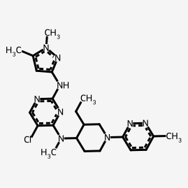 CCC1CN(c2ccc(C)nn2)CCC1N(C)c1nc(Nc2cc(C)n(C)n2)ncc1Cl